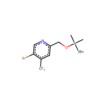 CC(C)(C)[Si](C)(C)OCc1cc(C(F)(F)F)c(Br)cn1